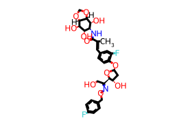 C/C(=C\c1ccc(O[C@H]2C[C@H](O)[C@@H](/C(CO)=N/OCc3ccc(F)cc3)O2)c(F)c1)C(=O)N[C@@H]1[C@H](O)[C@@H](O)[C@H]2OCO[C@H]2[C@@H]1O